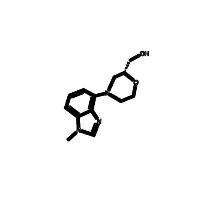 Cn1cnc2c(N3CCO[C@@H](CO)C3)cccc21